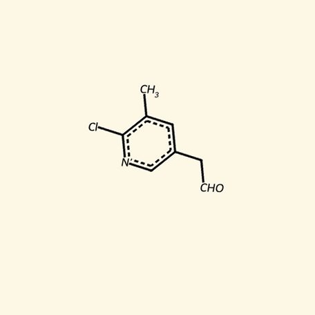 Cc1cc(CC=O)cnc1Cl